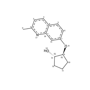 Cc1ccc2ccc(O[C@H]3CCC[C@@H]3O)cc2n1